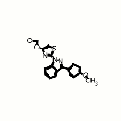 COc1ccc(-c2nn(-c3nc(OC=O)cs3)c3ccccc23)cc1